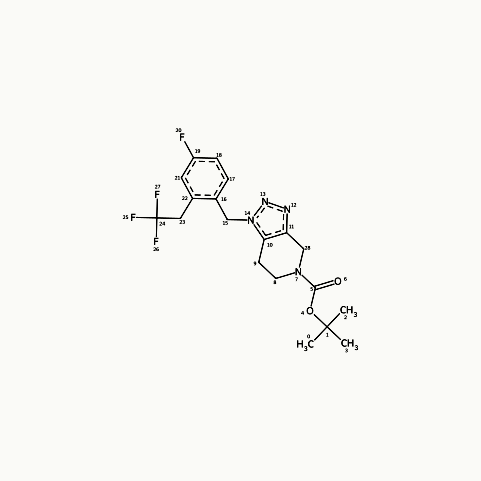 CC(C)(C)OC(=O)N1CCc2c(nnn2Cc2ccc(F)cc2CC(F)(F)F)C1